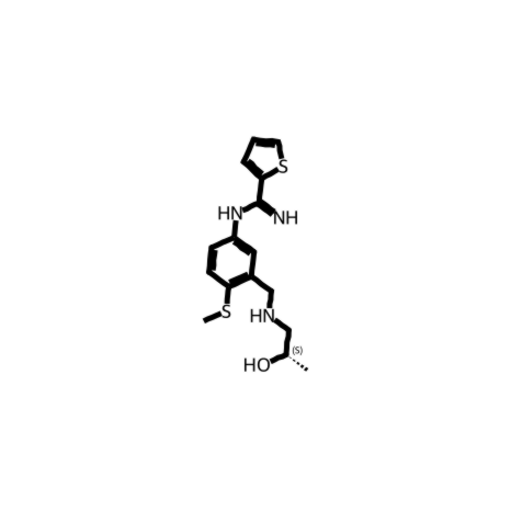 CSc1ccc(NC(=N)c2cccs2)cc1CNC[C@H](C)O